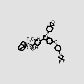 O=C(NC1(C(=O)O)C2CC3CC(C2)CC1C3)c1ccc(-c2cn(C3CCC4(CC3)COC4)c3cc(O[C@H]4CC[C@H](N5CC(F)(F)C5)CC4)ccc23)nc1C(F)(F)F